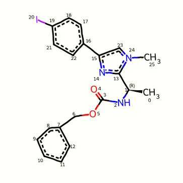 C[C@@H](NC(=O)OCc1ccccc1)c1nc(-c2ccc(I)cc2)cn1C